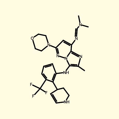 Cc1nc2c(/N=C/N(C)C)cc(N3CCOCC3)nn2c1Nc1cccc(C(F)(F)F)c1C1C=CNCC1